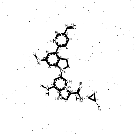 CNc1cc(N2CCc3c(-c4ccc(C=O)cn4)cc(OC)cc32)nn2c(C(=O)N[C@@H]3C[C@@H]3F)cnc12